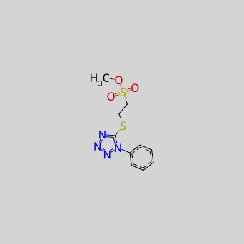 COS(=O)(=O)CCSc1nnnn1-c1ccccc1